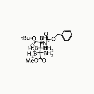 BC(B)(C(=O)OC)C(B)(B)[C@](B)(NC(=O)OCc1ccccc1)C(=O)OC(C)(C)C